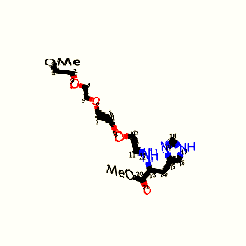 COCCOCCOCCOCCNC(Cc1c[nH]cn1)C(=O)OC